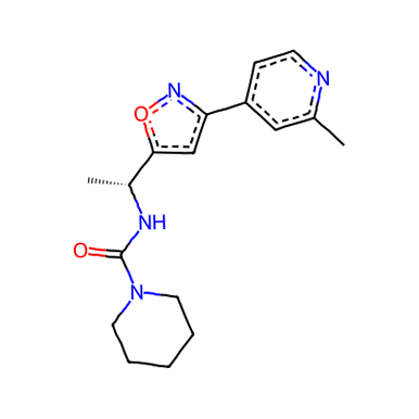 Cc1cc(-c2cc([C@@H](C)NC(=O)N3CCCCC3)on2)ccn1